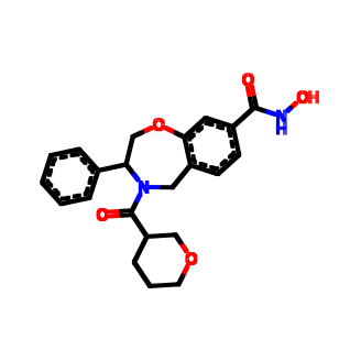 O=C(NO)c1ccc2c(c1)OCC(c1ccccc1)N(C(=O)C1CCCOC1)C2